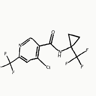 O=C(NC1(C(F)(F)F)CC1)c1cnc(C(F)(F)F)cc1Cl